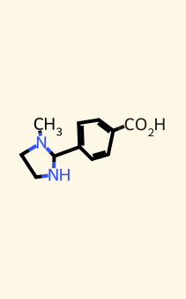 CN1CCNC1c1ccc(C(=O)O)cc1